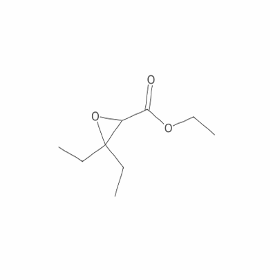 CCOC(=O)C1OC1(CC)CC